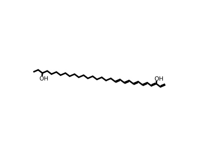 C=CC(O)=CC=CC=CC=CC=CCCCCCCCCCCCCCCCC(O)CC